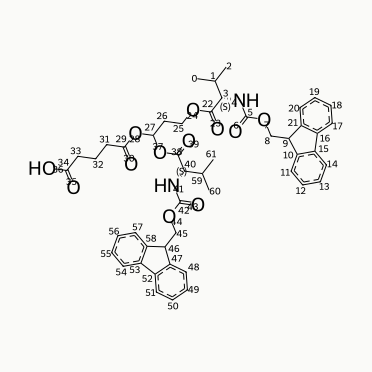 CC(C)[C@H](NC(=O)OCC1c2ccccc2-c2ccccc21)C(=O)OCCC(OC(=O)CCCC(=O)O)OC(=O)[C@@H](NC(=O)OCC1c2ccccc2-c2ccccc21)C(C)C